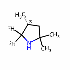 [2H]C1([2H])NC(C)(C)C[C@H]1C